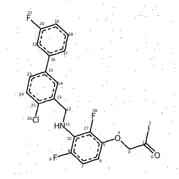 O=C(I)COc1ccc(F)c(NCc2cc(-c3cccc(F)c3)ccc2Cl)c1F